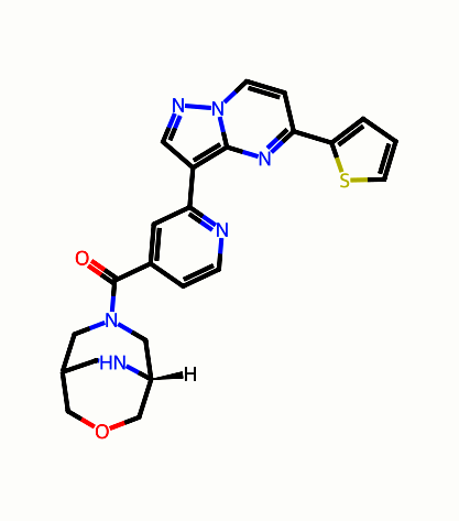 O=C(c1ccnc(-c2cnn3ccc(-c4cccs4)nc23)c1)N1CC2CN[C@@H](COC2)C1